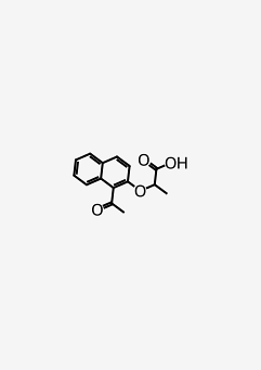 CC(=O)c1c(OC(C)C(=O)O)ccc2ccccc12